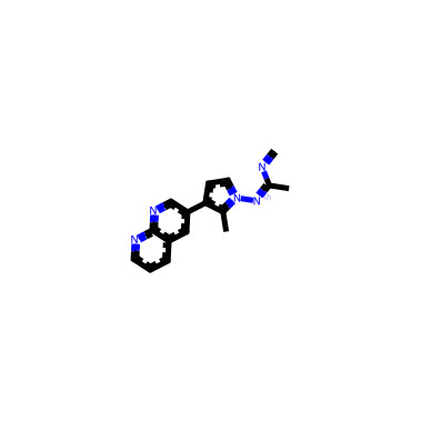 C=N/C(C)=N\n1ccc(-c2cnc3ncccc3c2)c1C